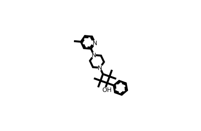 Cc1ccnc(N2CCN(C3C(C)(C)C(O)(c4ccccc4)C3(C)C)CC2)c1